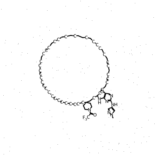 Cn1cc(Nc2ncc(Cl)c(NC3CCCCCCCCCCCCCCCCCCCCCCCCCCCCCCCCCCCCCCCCCCCCCCCCC4(CC3)CCN(C(=O)C(F)(F)F)CC4)n2)cn1